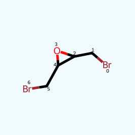 BrCC1OC1CBr